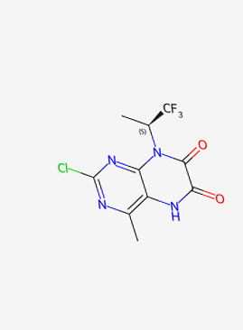 Cc1nc(Cl)nc2c1[nH]c(=O)c(=O)n2[C@@H](C)C(F)(F)F